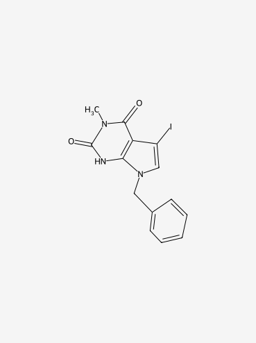 Cn1c(=O)[nH]c2c(c(I)cn2Cc2ccccc2)c1=O